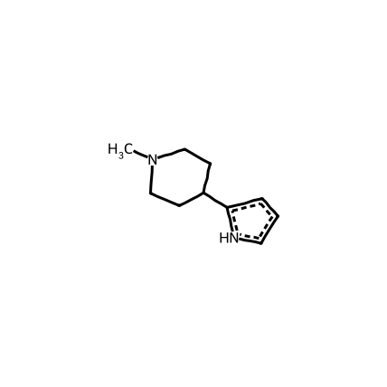 CN1CCC(c2ccc[nH]2)CC1